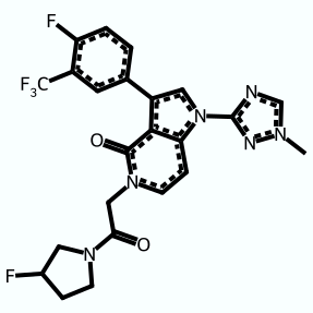 Cn1cnc(-n2cc(-c3ccc(F)c(C(F)(F)F)c3)c3c(=O)n(CC(=O)N4CCC(F)C4)ccc32)n1